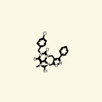 CCc1nc2c(c(=O)n(Cc3ccc(Cl)cc3)c(=O)n2Cc2c(-c3ccccc3)noc2C)n1C